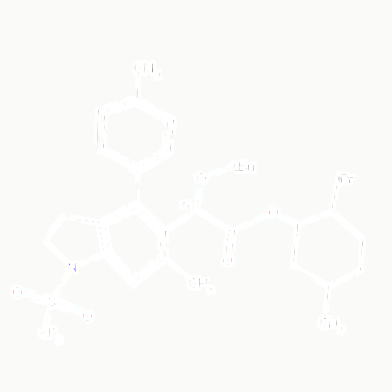 Cc1ccc(-c2c3c(cc(C)c2[C@H](OC(C)(C)C)C(=O)OC2CC(C)CCC2C(C)C)N(S(=O)(=O)C(F)(F)F)CC3)cc1